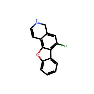 Clc1cc2c(c3oc4ccccc4c13)C=CNC2